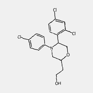 OCCC1CN(c2ccc(Cl)cc2)C(c2ccc(Cl)cc2Cl)CO1